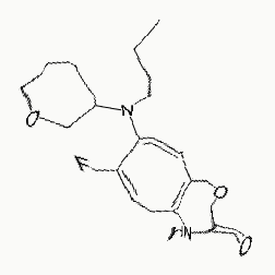 CCCN(c1cc2oc(=O)[nH]c2cc1F)C1CCCOC1